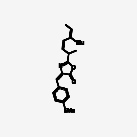 C/C=C(\C=C/C(C)C1=N/C(=C/c2ccc(SC)cc2)C(=O)O1)C(C)(C)C